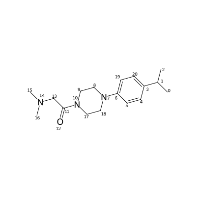 CC(C)c1ccc(N2CCN(C(=O)CN(C)C)CC2)cc1